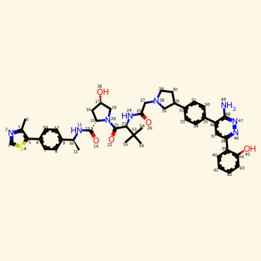 Cc1ncsc1-c1ccc([C@H](C)NC(=O)[C@@H]2C[C@@H](O)CN2C(=O)[C@@H](NC(=O)CN2CCC(c3ccc(-c4cc(-c5ccccc5O)nnc4N)cc3)C2)C(C)(C)C)cc1